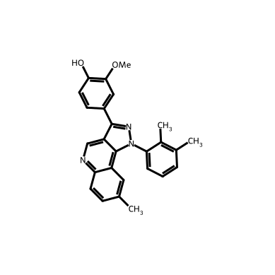 COc1cc(-c2nn(-c3cccc(C)c3C)c3c2cnc2ccc(C)cc23)ccc1O